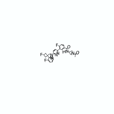 CC(=O)N1CC(NC(=O)c2ccc(F)c(-c3ccc(NCC4(c5ncccc5F)CC(F)C4)nn3)c2)C1